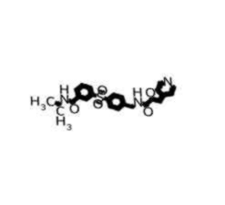 CC(C)NC(=O)c1cccc(S(=O)(=O)c2ccc(CNC(=O)c3cc4ccncc4o3)cc2)c1